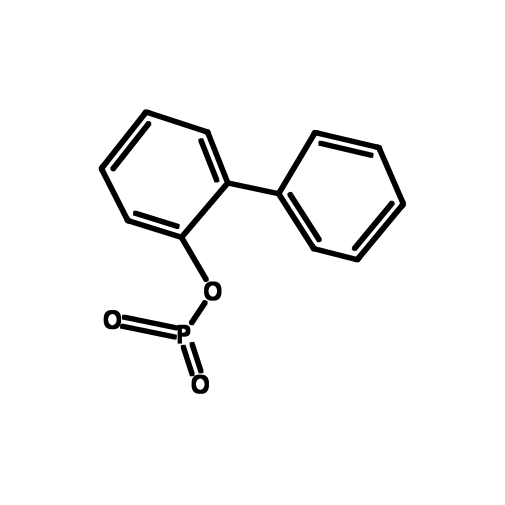 O=P(=O)Oc1ccccc1-c1ccccc1